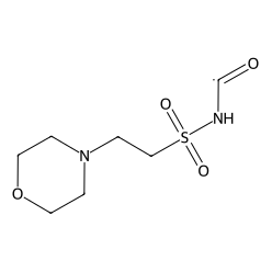 O=[C]NS(=O)(=O)CCN1CCOCC1